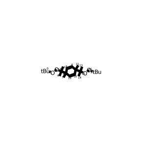 CC(C)(C)OOC(C)(C)C1(C)C=CC(C)(C(C)(C)OOC(C)(C)C)C=C1